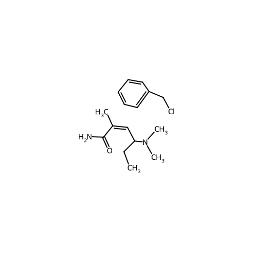 CCC(C=C(C)C(N)=O)N(C)C.ClCc1ccccc1